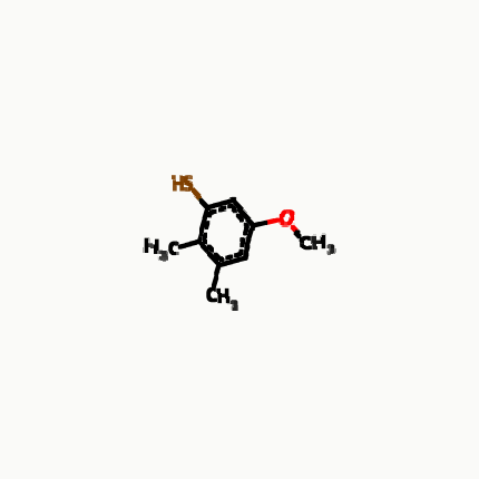 COc1cc(C)c(C)c(S)c1